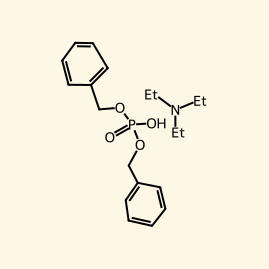 CCN(CC)CC.O=P(O)(OCc1ccccc1)OCc1ccccc1